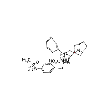 CS(=O)(=O)Nc1ccc(Cc2noc(C3CC4CCC(C3)N4CC[C@H](NC(=O)O)c3ccccc3)n2)cc1